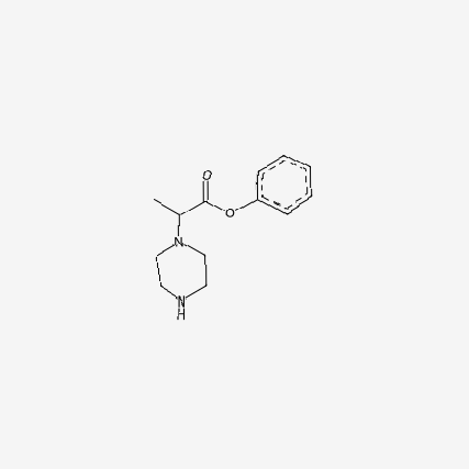 CC(C(=O)Oc1ccccc1)N1CCNCC1